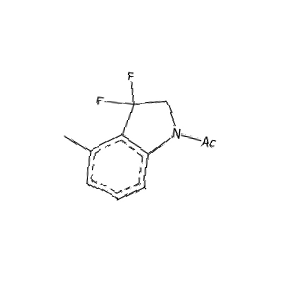 CC(=O)N1CC(F)(F)c2c(C)cccc21